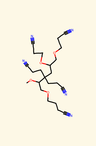 COC(COCCCC#N)C(CCC#N)(CCC#N)CC(COCCC#N)OCCC#N